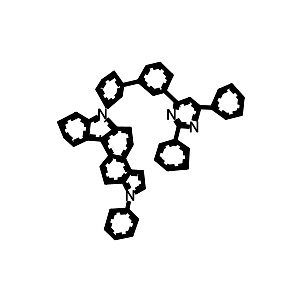 c1ccc(-c2cc(-c3cccc(-c4cccc(-n5c6ccccc6c6c7ccc8c(ccn8-c8ccccc8)c7ccc65)c4)c3)nc(-c3ccccc3)n2)cc1